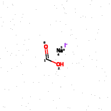 O=CO.[I-].[Na+]